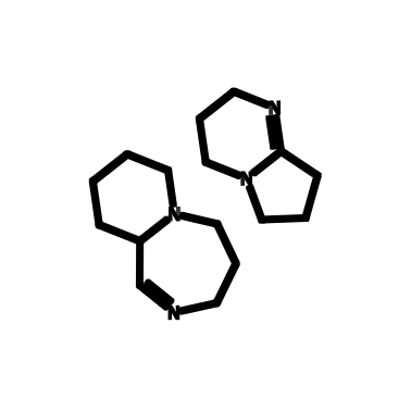 C1=NCCCN2CCCCC12.C1CN=C2CCCN2C1